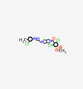 Cc1ccc(NCCCN2CC3CN(C(=O)c4c(Cl)cc(S(C)(=O)=O)cc4Cl)CC3C2)cc1Cl